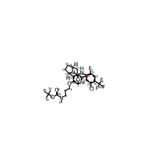 CN(CCCOc1cnc(F)c2c1[C@H]1CC[C@@H](C2)N1C(=O)Nc1cc(Cl)c(C(F)(F)F)cc1F)C(=O)OC(C)(C)C